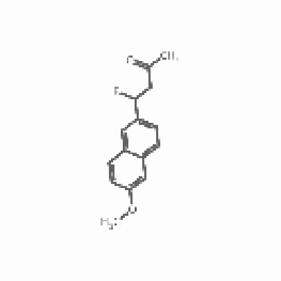 COc1ccc2cc(C(F)CC(C)=O)ccc2c1